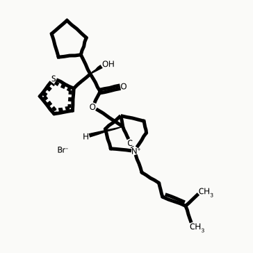 CC(C)=CCC[N+]12CCC(CC1)[C@@H](OC(=O)[C@](O)(c1cccs1)C1CCCC1)C2.[Br-]